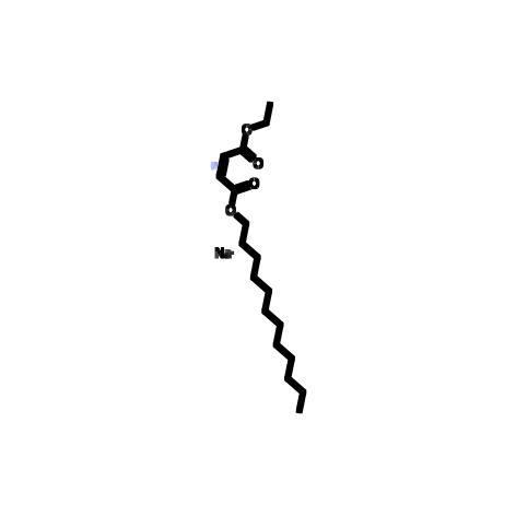 CCCCCCCCCCCCOC(=O)/C=C\C(=O)OCC.[Na]